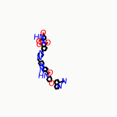 N#Cc1ccc(O[C@H]2CC[C@@H](NC(=O)c3ccc(N4CCC(CN5CCN(c6ccc7c(c6)C(=O)N(C6CCC(=O)NC6=O)C7=O)CC5)CC4)nc3)CC2)c2cccnc12